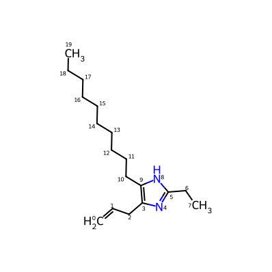 C=CCc1nc(CC)[nH]c1CCCCCCCCCC